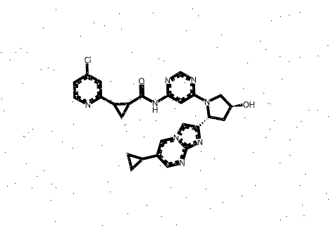 O=C(Nc1cc(N2C[C@@H](O)C[C@@H]2c2cn3cc(C4CC4)cnc3n2)ncn1)C1CC1c1cc(Cl)ccn1